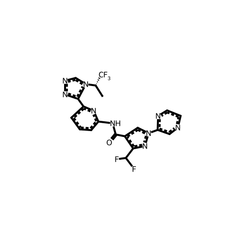 C[C@H](n1cnnc1-c1cccc(NC(=O)c2cn(-c3cnccn3)nc2C(F)F)n1)C(F)(F)F